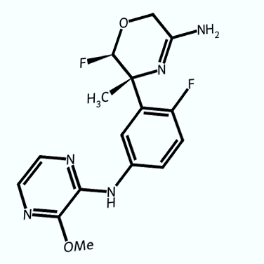 COc1nccnc1Nc1ccc(F)c([C@@]2(C)N=C(N)CO[C@@H]2F)c1